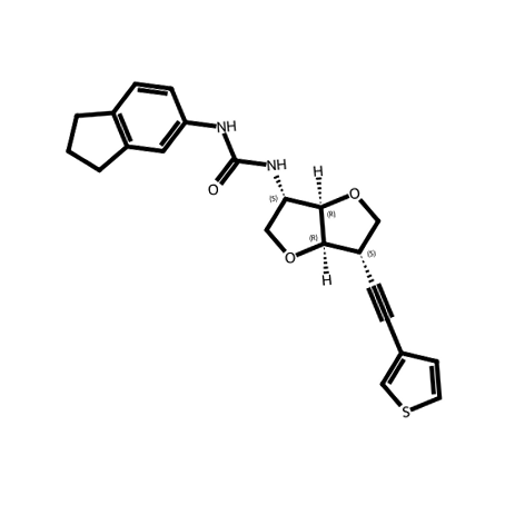 O=C(Nc1ccc2c(c1)CCC2)N[C@H]1CO[C@H]2[C@@H]1OC[C@@H]2C#Cc1ccsc1